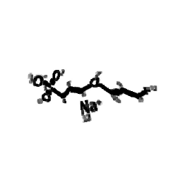 O=S(=O)([O-])CC=COCC=CF.[Na+]